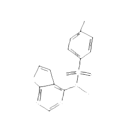 NN(c1ncnc2sccc12)S(=O)(=O)c1ccc(Cl)cc1